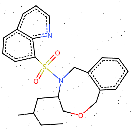 CCC(C)CC1COCc2ccccc2CN1S(=O)(=O)c1cccc2cccnc12